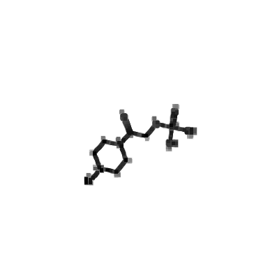 CCN1CCN(C(=O)COP(=O)(O)O)CC1